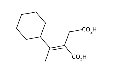 CC(=C(CC(=O)O)C(=O)O)C1CCCCC1